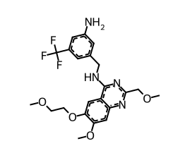 COCCOc1cc2c(NCc3cc(N)cc(C(F)(F)F)c3)nc(COC)nc2cc1OC